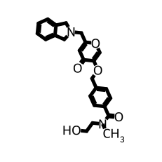 CN(CCO)C(=O)c1ccc(COc2coc(CN3Cc4ccccc4C3)cc2=O)cc1